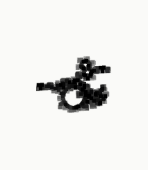 COCC(C)(C)N(C(=O)O)[C@@H]1C(=O)N2C[C@H](Oc3ncc(OC)c4ccccc34)C[C@H]2C(=O)N[C@]2(C(=O)NS(=O)(=O)C3(CF)CC3)C[C@H]2C=CCC[C@@H](C)C[C@H]1C